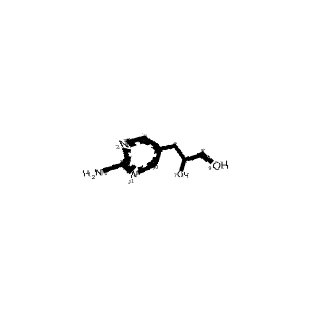 Nc1ncc(CC(O)CO)cn1